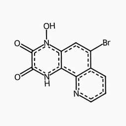 O=c1[nH]c2c3ncccc3c(Br)cc2n(O)c1=O